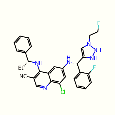 CC[C@@H](Nc1c(C#N)cnc2c(Cl)cc(N[C@H](C3=CN(CCF)NN3)c3ccccc3F)cc12)c1ccccc1